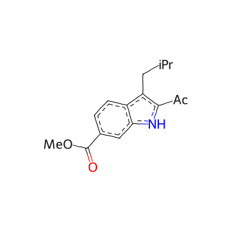 COC(=O)c1ccc2c(CC(C)C)c(C(C)=O)[nH]c2c1